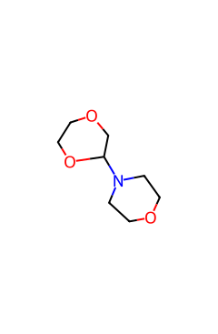 C1CN(C2COCCO2)CCO1